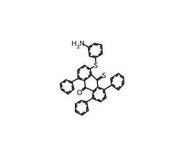 Nc1cccc(Sc2ccc(-c3ccccc3)c3c2C(=S)c2c(-c4ccccc4)ccc(-c4ccccc4)c2C3=O)c1